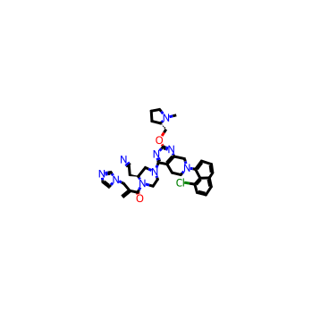 C=C(Cn1ccnc1)C(=O)N1CCN(c2nc(OC[C@@H]3CCCN3C)nc3c2CCN(c2cccc4cccc(Cl)c24)C3)C[C@@H]1CC#N